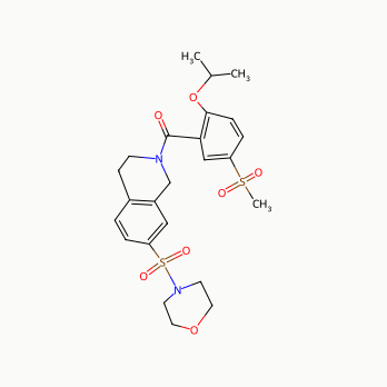 CC(C)Oc1ccc(S(C)(=O)=O)cc1C(=O)N1CCc2ccc(S(=O)(=O)N3CCOCC3)cc2C1